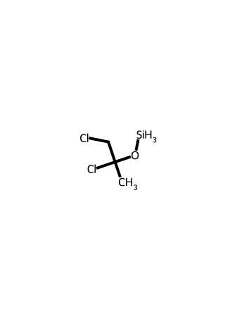 CC(Cl)(CCl)O[SiH3]